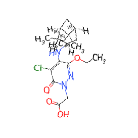 CCOc1nn(CC(=O)O)c(=O)c(Cl)c1N[C@@H]1C[C@@H]2C[C@H]([C@H]1C)C2(C)C